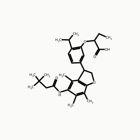 CCC(Oc1cc(C2COc3c(C)c(C)c(NC(=O)CC(C)(C)C)c(C)c32)ccc1C(C)C)C(=O)O